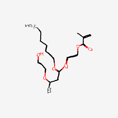 C=C(C)C(=O)OCCOC(CC(CC)OCCO)OCCCCCC(=O)O